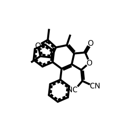 CC(=C1C(=O)OC(=C(C#N)C#N)C1=C(c1ccccc1)c1ccccc1)c1cc(C)oc1C